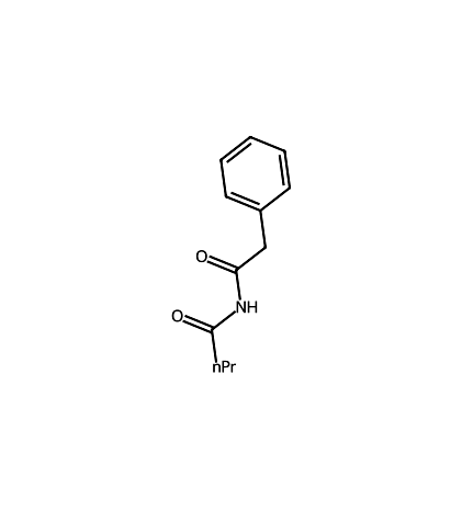 CCCC(=O)NC(=O)Cc1ccccc1